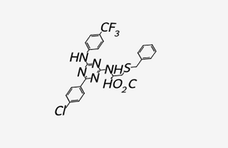 O=C(O)[C@H](CSCc1ccccc1)Nc1nc(Nc2ccc(C(F)(F)F)cc2)nc(-c2ccc(Cl)cc2)n1